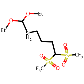 CCOC(OCC)[SiH2]CCCC(S(=O)(=O)C(F)(F)F)S(=O)(=O)C(F)(F)F